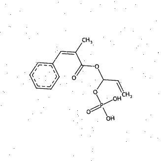 C=CC(OC(=O)C(C)=Cc1ccccc1)OP(=O)(O)O